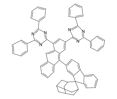 c1ccc(-c2nc(-c3ccccc3)nc(-c3cc(-c4nc(-c5ccccc5)nc(-c5ccccc5)n4)c4cc5ccccc5c(-c5ccc6c(c5)C5(c7ccccc7-6)C6CC7CC(C6)CC5C7)c4c3)n2)cc1